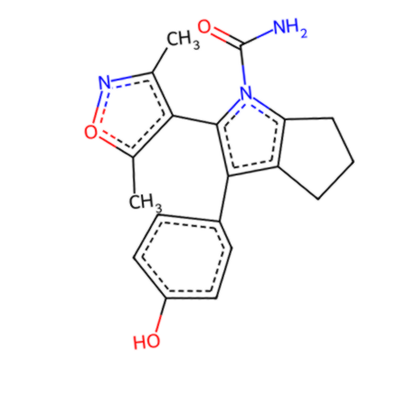 Cc1noc(C)c1-c1c(-c2ccc(O)cc2)c2c(n1C(N)=O)CCC2